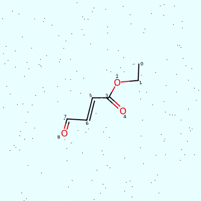 CCOC(=O)C=C[C]=O